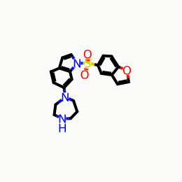 O=S(=O)(c1ccc2occc2c1)n1ccc2ccc(N3CCCNCC3)cc21